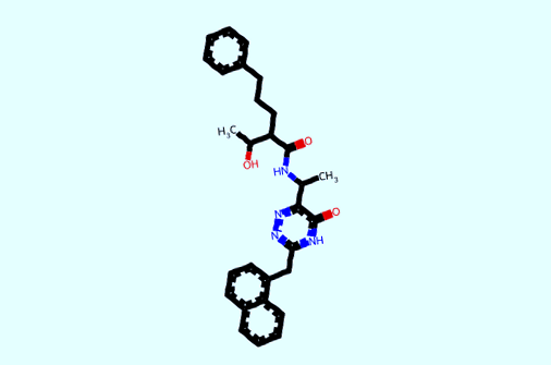 CC(NC(=O)C(CCCc1ccccc1)C(C)O)c1nnc(Cc2cccc3ccccc23)[nH]c1=O